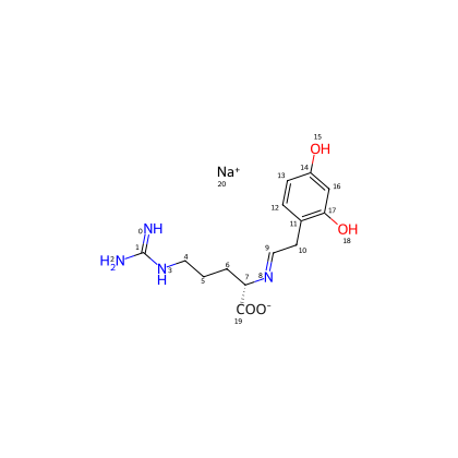 N=C(N)NCCC[C@H](N=CCc1ccc(O)cc1O)C(=O)[O-].[Na+]